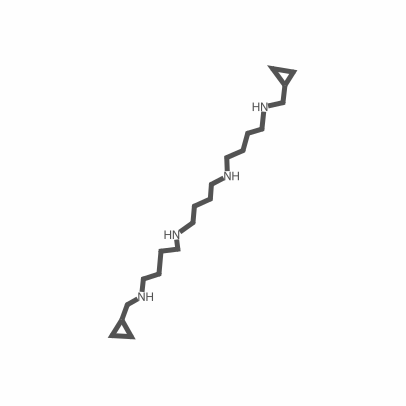 C(CCNCCCCNCC1CC1)CNCCCCNCC1CC1